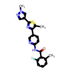 Cc1cccc(F)c1C(=O)Nc1ccc(-c2nc(-c3cnn(C)c3)sc2C)cn1